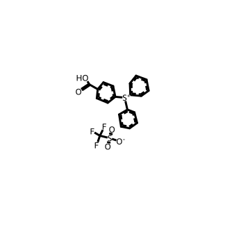 O=C(O)c1ccc([S+](c2ccccc2)c2ccccc2)cc1.O=S(=O)([O-])C(F)(F)F